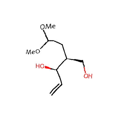 C=C[C@@H](O)[C@H](CO)CC(OC)OC